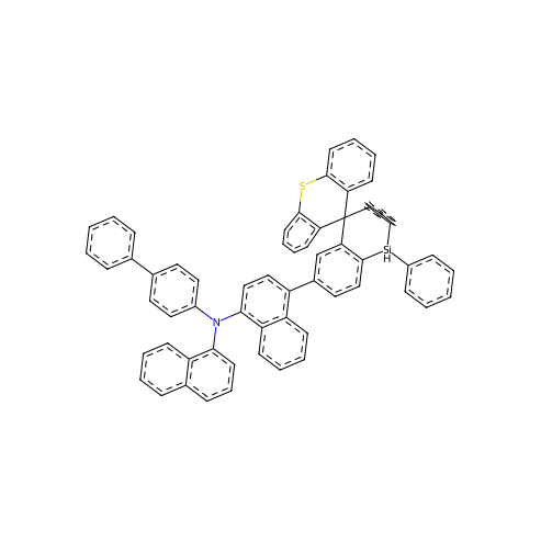 c1ccc(-c2ccc(N(c3cccc4ccccc34)c3ccc(-c4ccc5c(c4)C4(c6ccccc6Sc6ccccc64)c4ccccc4[SiH]5c4ccccc4)c4ccccc34)cc2)cc1